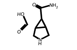 NC(=O)C1C2CNCC21.O=CO